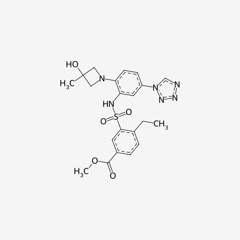 CCc1ccc(C(=O)OC)cc1S(=O)(=O)Nc1cc(-n2cnnn2)ccc1N1CC(C)(O)C1